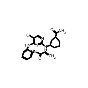 C=CC(=O)Nc1ccccc1Nc1nc(NC2CCCC(C(N)=O)C2)ncc1Cl